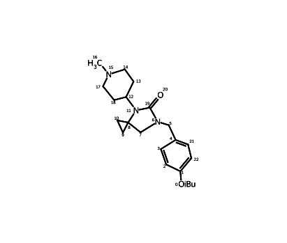 CC(C)COc1ccc(CN2CC3(CC3)N(C3CCN(C)CC3)C2=O)cc1